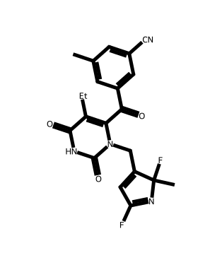 CCc1c(C(=O)c2cc(C)cc(C#N)c2)n(CC2=CC(F)=NC2(C)F)c(=O)[nH]c1=O